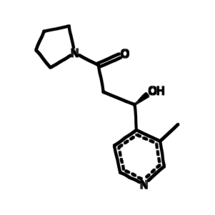 Cc1cnccc1[C@H](O)CC(=O)N1CCCC1